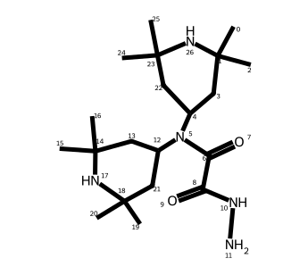 CC1(C)CC(N(C(=O)C(=O)NN)C2CC(C)(C)NC(C)(C)C2)CC(C)(C)N1